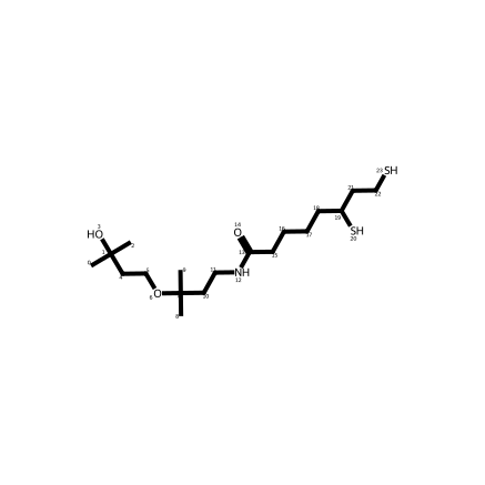 CC(C)(O)CCOC(C)(C)CCNC(=O)CCCCC(S)CCS